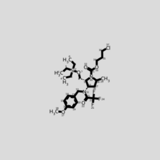 CC[Si](CC)(CC)OC[C@H]1[C@@H](N(Cc2ccc(OC)cc2)C(=O)C(F)(F)F)CC(C)N1C(=O)OCCCCl